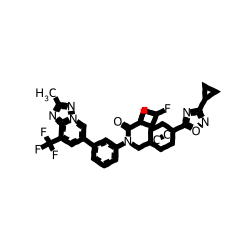 Cc1nc2c(C(F)(F)F)cc(-c3cccc(N(CC45CCC(c6nc(C7CC7)no6)(CC4)CC5)C(=O)C45CC(F)(C4)C5)c3)cn2n1